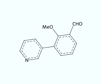 COc1c(C=O)cccc1-c1cccnc1